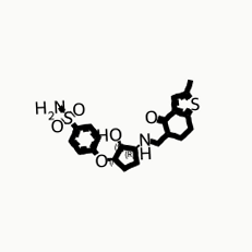 Cc1cc2c(s1)CCC(CN[C@@H]1CC[C@@H](Oc3ccc(S(N)(=O)=O)cc3)[C@H]1O)C2=O